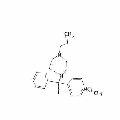 C=CCN1CCN(C(I)(c2ccccc2)c2ccccc2)CC1.Cl.Cl